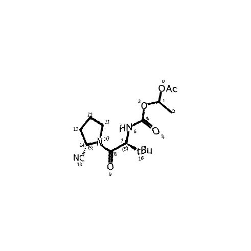 CC(=O)OC(C)OC(=O)N[C@H](C(=O)N1CCC[C@H]1C#N)C(C)(C)C